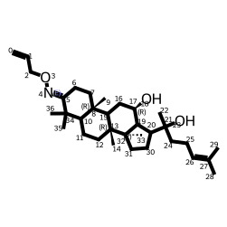 C=CCO/N=C1\CC[C@@]2(C)C(CC[C@]3(C)C2C[C@@H](O)C2C(C(C)(O)CCC=C(C)C)CC[C@]23C)C1(C)C